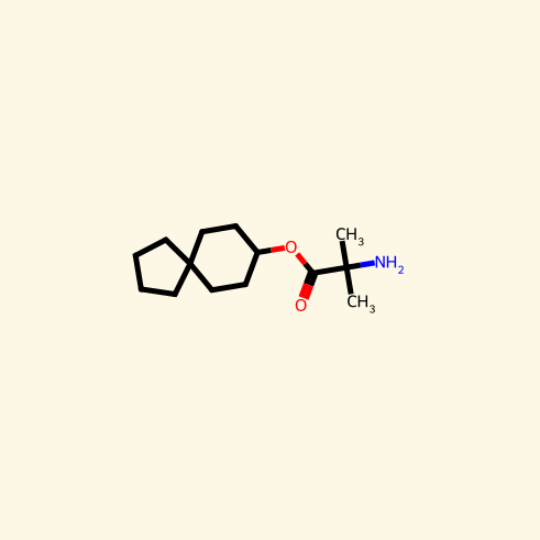 CC(C)(N)C(=O)OC1CCC2(CCCC2)CC1